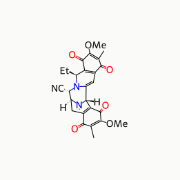 CC[C@H]1C2=C(C=C3[C@@H]4C5=C(C[C@@H]([C@H](C#N)N31)N4C)C(=O)C(C)=C(OC)C5=O)C(=O)C(C)=C(OC)C2=O